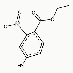 CCOC(=O)c1ccc(S)cc1[N+](=O)[O-]